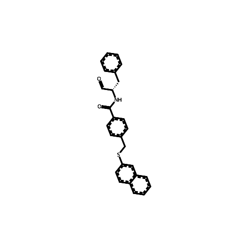 O=C[C@H](Cc1ccccc1)NC(=O)c1ccc(CSc2ccc3ccccc3c2)cc1